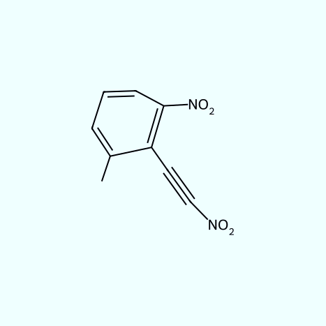 Cc1cccc([N+](=O)[O-])c1C#C[N+](=O)[O-]